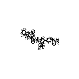 COC(=O)Nc1ccc(-c2ccc(CNC(=O)c3cc(=O)n(Cc4ccccc4)c(=O)[nH]3)c(OC(F)(F)F)c2)cc1